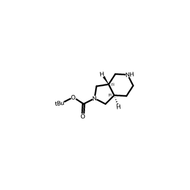 CC(C)(C)OC(=O)N1C[C@@H]2CCNC[C@H]2C1